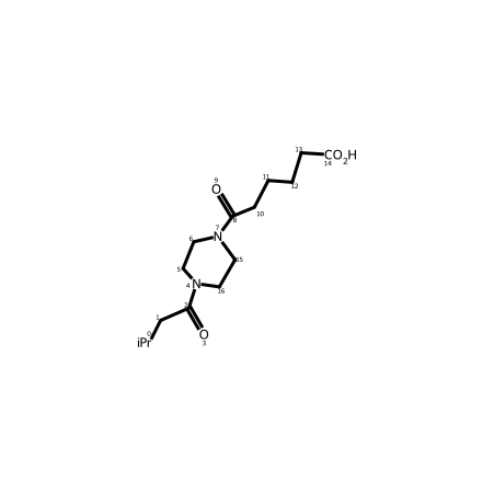 CC(C)CC(=O)N1CCN(C(=O)CCCCC(=O)O)CC1